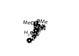 COc1ccc(CN(c2ncns2)S(=O)(=O)c2c(F)cc(N(C)C3CCN(Cc4ccccc4)C3)c(Br)c2F)c(OC)c1